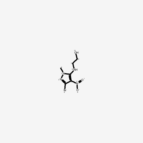 Cn1nc(Br)c([N+](=O)[O-])c1NCCO